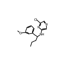 CCCC(Nc1cncc(Cl)n1)c1cccc(OC)c1